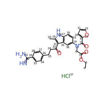 CCOC(=O)CN(C(=O)c1ccco1)c1ccc2[nH]c(C)c(C(=O)CCc3ccc(C(=N)N)cc3)c2c1.Cl